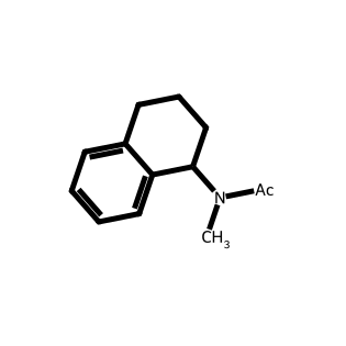 CC(=O)N(C)C1CCCc2ccccc21